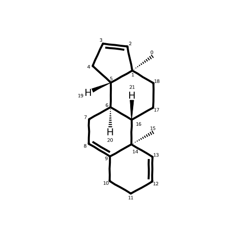 C[C@@]12C=CC[C@H]1[C@@H]1CC=C3CCC=C[C@]3(C)[C@H]1CC2